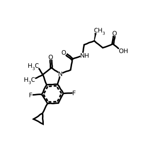 C[C@H](CNC(=O)CN1C(=O)C(C)(C)c2c(F)c(C3CC3)cc(F)c21)CC(=O)O